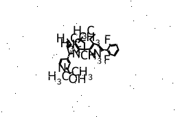 CCCc1cc(-c2c(F)cccc2F)nnc1[C@@](C)(CC(C)(C)C)c1cncc(-c2ccnc(C(C)(C)O)c2)n1